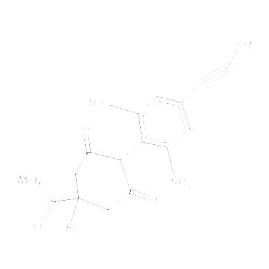 CC#Cc1cc(C)c(C2C(=O)CC(CC)(C(=O)NC)CC2=O)c(C)c1